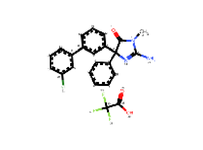 CN1C(=O)C(c2ccccc2)(c2cccc(-c3cccc(Cl)c3)c2)N=C1N.O=C(O)C(F)(F)F